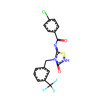 O=C(/N=c1\s[nH]c(=O)n1Cc1cccc(C(F)(F)F)c1)c1ccc(Cl)cc1